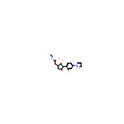 Cc1cc(-n2cc(Cl)cn2)cc(C)c1C1C(=O)CC(CC(=O)NCC(C)C)C1=O